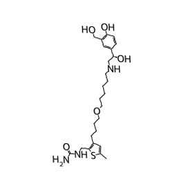 Cc1cc(CCCCOCCCCCCNC[C@H](O)c2ccc(O)c(CO)c2)c(CNC(N)=O)s1